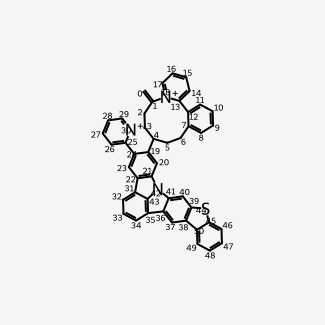 C=C1CC2C(CCc3ccccc3-c3cccc[n+]31)c1cc3c(cc1-c1cccc[n+]12)c1cccc2c4cc5c(cc4n3c12)sc1ccccc15